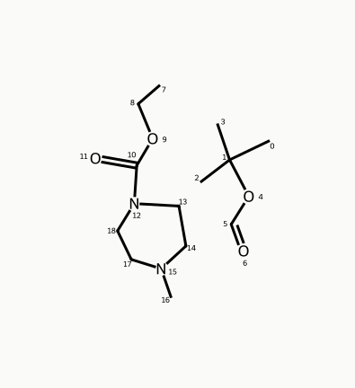 CC(C)(C)OC=O.CCOC(=O)N1CCN(C)CC1